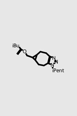 C=C(OCC1C2CCc3nnn(C(C)CCC)c3CCC21)C(C)CC